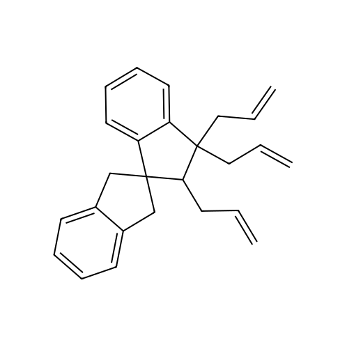 C=CCC1C(CC=C)(CC=C)c2ccccc2C12Cc1ccccc1C2